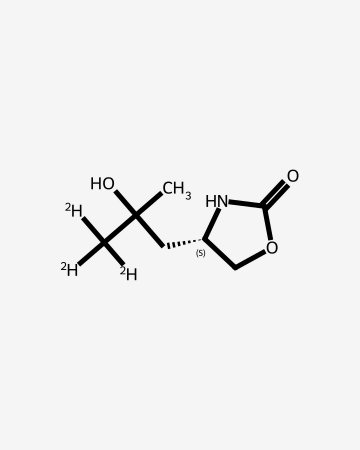 [2H]C([2H])([2H])C(C)(O)C[C@H]1COC(=O)N1